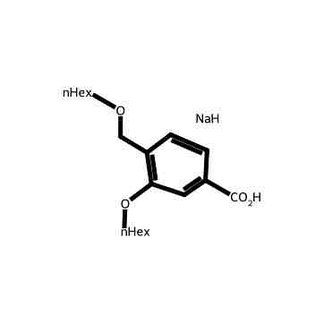 CCCCCCOCc1ccc(C(=O)O)cc1OCCCCCC.[NaH]